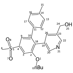 CCCCOc1cc(S(C)(=O)=O)cc(-c2ccc(C)cc2)c1-c1cncc(CO)c1